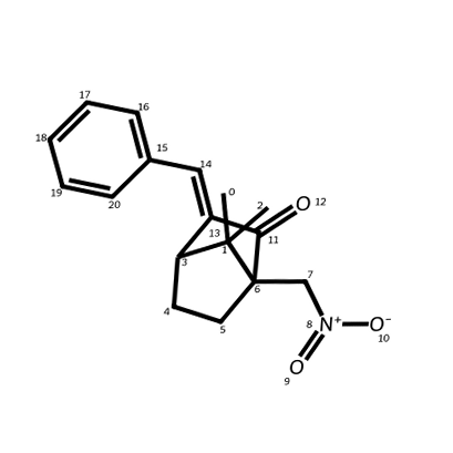 CC1(C)C2CCC1(C[N+](=O)[O-])C(=O)C2=Cc1ccccc1